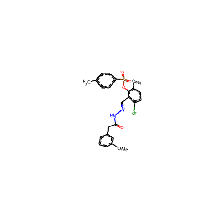 COc1cccc(CC(=O)NN=Cc2c(Br)ccc(OC)c2OS(=O)(=O)c2ccc(C(F)(F)F)cc2)c1